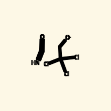 N=C=O.[O]CC(Cl)(Cl)Cl